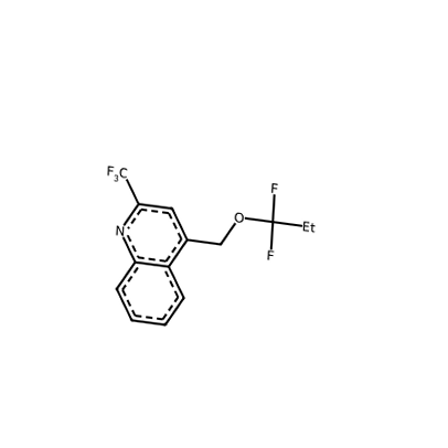 CCC(F)(F)OCc1cc(C(F)(F)F)nc2ccccc12